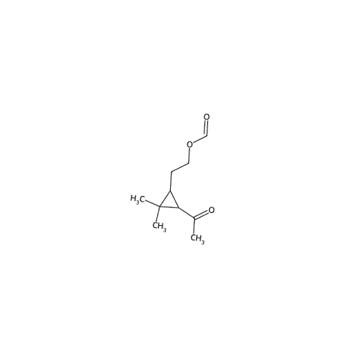 CC(=O)C1C(CCOC=O)C1(C)C